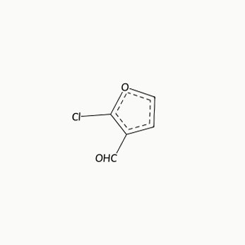 O=Cc1ccoc1Cl